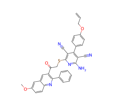 C=CCOc1ccc(-c2c(C#N)c(N)nc(SCC(=O)c3cc4cc(OC)ccc4nc3-c3ccccc3)c2C#N)cc1